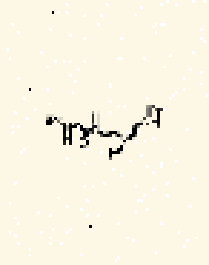 CC(C)NCCN(CI)CCNC(=O)CNC(C)C